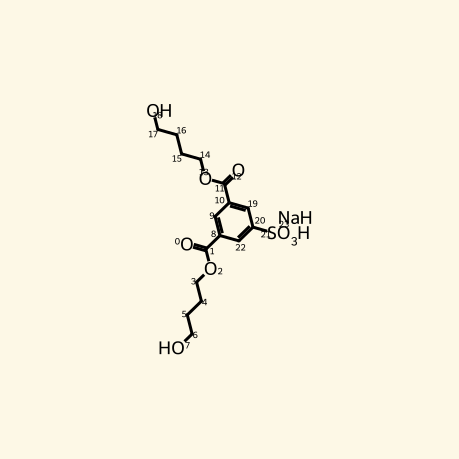 O=C(OCCCCO)c1cc(C(=O)OCCCCO)cc(S(=O)(=O)O)c1.[NaH]